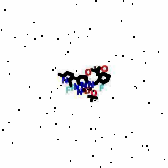 Cc1ccc(-c2cc3c(n4cnnc24)N(C(=O)OC(C)(C)C)Cc2c(F)ccc4c2[C@H](CO4)CO3)c(C(F)F)n1